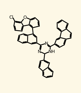 Clc1cccc2c1oc1cccc(-c3cc(C4=NC(c5ccc6ccccc6c5)NC(c5ccc6ccc7ccccc7c6c5)=N4)cc4ccccc34)c12